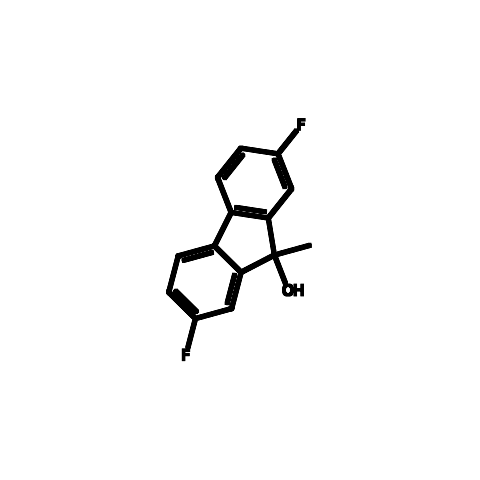 CC1(O)c2cc(F)ccc2-c2ccc(F)cc21